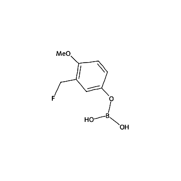 COc1ccc(OB(O)O)cc1CF